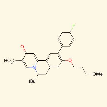 COCCCOc1cc2c(cc1-c1ccc(F)cc1)-c1cc(=O)c(C(=O)O)cn1C(C(C)(C)C)C2